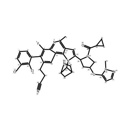 Cc1nc2c(F)c(-c3cccc(Cl)c3Cl)c(CCC#N)cc2c2c1cc(C1CC(Oc3ccnn3C)CN1C(=O)C1CC1)n2C1C2CNC1C2